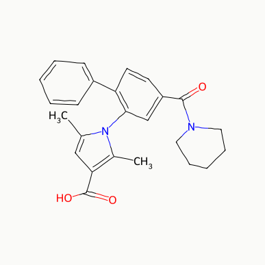 Cc1cc(C(=O)O)c(C)n1-c1cc(C(=O)N2CCCCC2)ccc1-c1ccccc1